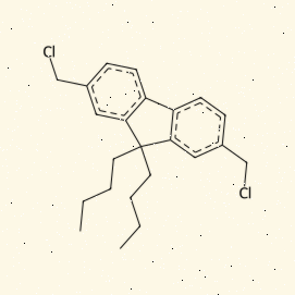 CCCCC1(CCCC)c2cc(CCl)ccc2-c2ccc(CCl)cc21